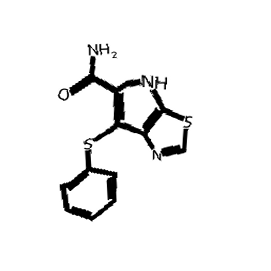 NC(=O)c1[nH]c2scnc2c1Sc1ccccc1